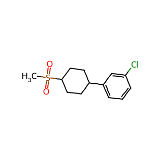 CS(=O)(=O)C1CCC(c2cccc(Cl)c2)CC1